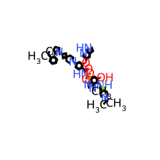 CC(C)c1ccccc1[C@@H]1CCCN1C1CC2(CCN(c3ccc(C(=O)NS(=O)(=O)c4cc(O)c(NCC5(F)CCN(C(C)C)CC5)c5c4ncn5C)c(Oc4cnc5[nH]ccc5c4)c3)CC2)C1